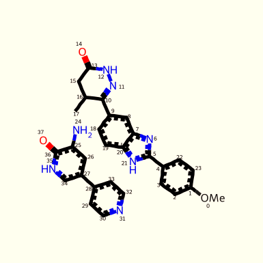 COc1ccc(-c2nc3cc(C4=NNC(=O)CC4C)ccc3[nH]2)cc1.Nc1cc(-c2ccncc2)c[nH]c1=O